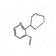 C=Cc1cccnc1C1CCCCC1